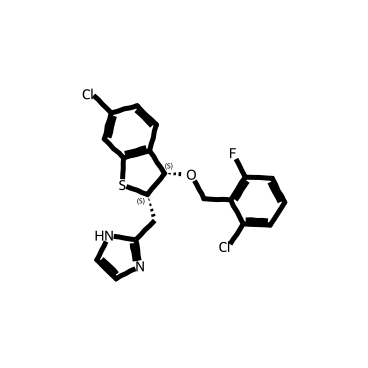 Fc1cccc(Cl)c1CO[C@H]1c2ccc(Cl)cc2S[C@H]1Cc1ncc[nH]1